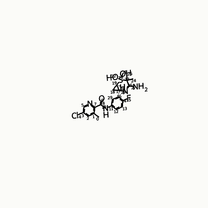 Cc1cc(Cl)cnc1C(=O)Nc1ccc(F)c([C@]23C[C@H]2S(O)(O)C(C)(C)C(N)=N3)c1